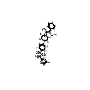 O=C(C(O)c1ccccc1)N1CCN(c2ccc(S(=O)(=O)Nc3nccs3)cc2)CC1